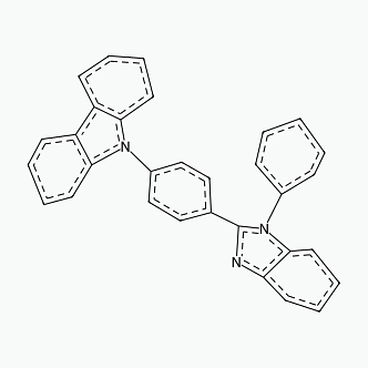 c1ccc(-n2c(-c3ccc(-n4c5ccccc5c5ccccc54)cc3)nc3ccccc32)cc1